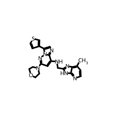 Cc1ccnc2[nH]c(CNc3cc(N4CCOCC4)nn4c(-c5ccsc5)cnc34)nc12